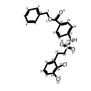 O=C(OCc1ccccc1)c1ccc(NS(=O)(=O)CCc2cccc(Cl)c2Cl)cc1